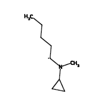 CCCC[CH]N(C)C1CC1